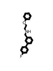 Fc1ccc(-c2cccc(CNCCOc3ccccc3)c2)cc1